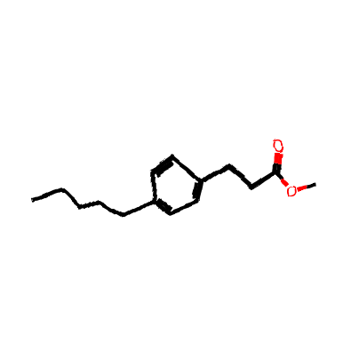 CCCCCc1ccc(CCC(=O)OC)cc1